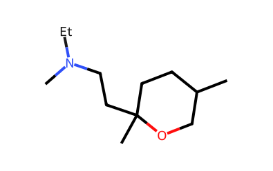 CCN(C)CCC1(C)CCC(C)CO1